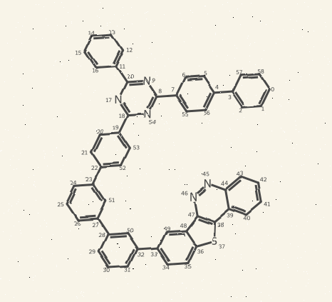 c1ccc(-c2ccc(-c3nc(-c4ccccc4)nc(-c4ccc(-c5cccc(-c6cccc(-c7ccc8sc9c%10ccccc%10nnc9c8c7)c6)c5)cc4)n3)cc2)cc1